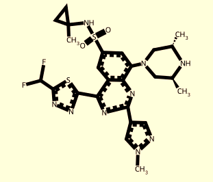 C[C@H]1CN(c2cc(S(=O)(=O)NC3(C)CC3)cc3c(-c4nnc(C(F)F)s4)nc(-c4cnn(C)c4)nc23)C[C@H](C)N1